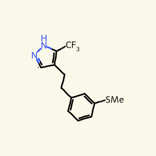 CSc1cccc(CCc2[c]n[nH]c2C(F)(F)F)c1